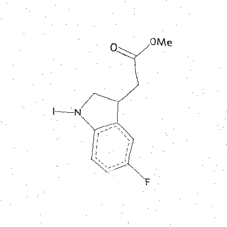 COC(=O)CC1CN(I)c2ccc(F)cc21